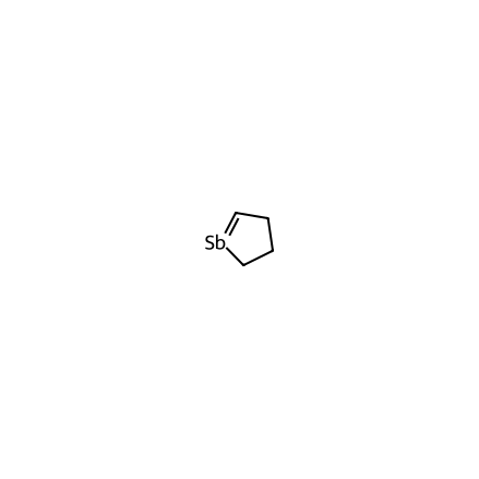 [CH]1=[Sb][CH2]CC1